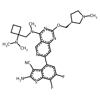 CN1CC[C@H](COc2nc(N(C)CC3(N(C)C)CCC3)c3cnc(-c4cc(F)c(F)c5sc(N)c(C#N)c45)cc3n2)C1